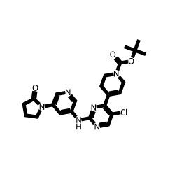 CC(C)(C)OC(=O)N1CC=C(c2nc(Nc3cncc(N4CCCC4=O)c3)ncc2Cl)CC1